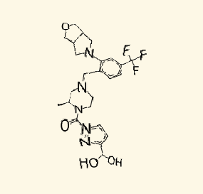 C[C@H]1CN(Cc2ccc(C(F)(F)F)cc2N2CC3COCC3C2)CCN1C(=O)n1ccc(C(O)O)n1